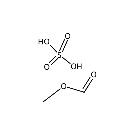 COC=O.O=S(=O)(O)O